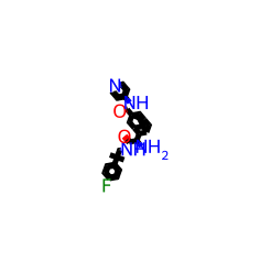 CC(C)(CNC(=O)C(N)C1C2CC3CC1CC(C(=O)Nc1ccncc1)(C3)C2)c1ccc(F)cc1